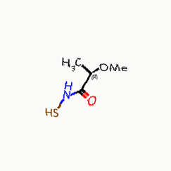 CO[C@H](C)C(=O)NS